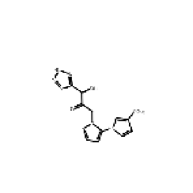 CCCCCCCCC1=C[SH](c2ccnn2CC(=O)C(O)c2nn[nH]n2)C=C1